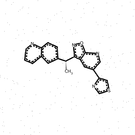 C[C@H](c1ccc2ncccc2c1)c1noc2ncc(-c3cscn3)cc12